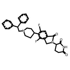 O=C1CCC(N2Cc3c(cc(F)c(C4CCN(CC(c5ccccc5)c5ccccc5)CC4)c3F)C2=O)C(=O)N1